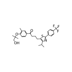 Cc1cc(C(=O)CCCc2sc(-c3ccc(C(F)(F)F)cc3)nc2C(C)C)ccc1OC(C)(C)CO